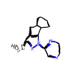 O=C(O)c1nn(-c2cnccn2)c2c1CC1CCCC21